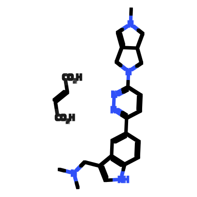 CN(C)Cc1c[nH]c2ccc(-c3ccc(N4CC5=CN(C)CC5C4)nn3)cc12.O=C(O)C=CC(=O)O